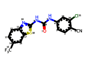 N#Cc1ccc(NC(=O)Nc2nc3ccc(C(F)(F)F)cc3s2)cc1Cl